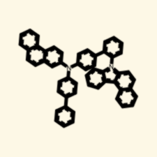 c1ccc(-c2ccc(N(c3ccc(-c4ccccc4-n4c5ccccc5c5c6ccccc6ccc54)cc3)c3ccc4c(ccc5ccccc54)c3)cc2)cc1